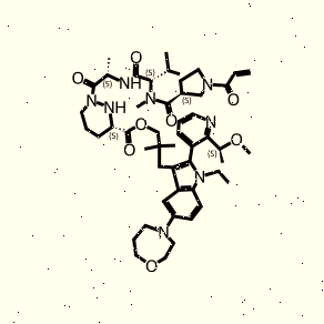 C=CC(=O)N1CC[C@H](C(=O)N(C)[C@H](C(=O)N[C@@H](C)C(=O)N2CCC[C@@H](C(=O)OCC(C)(C)Cc3c(-c4cccnc4[C@H](C)OC)n(CC)c4ccc(N5CCCOCC5)cc34)N2)C(C)C)C1